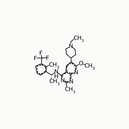 CCN1CCC(c2cc3c(N[C@H](C)c4cccc(C(F)(F)F)c4C)nc(C)nc3nc2OC)CC1